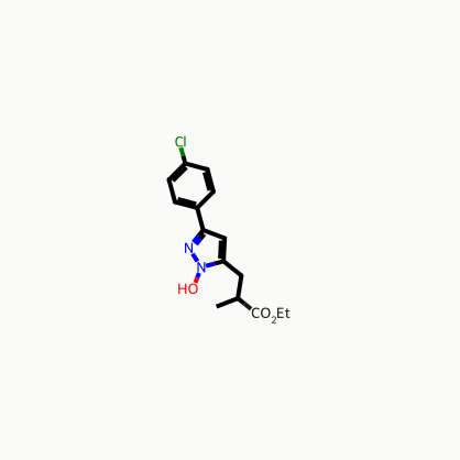 CCOC(=O)C(C)Cc1cc(-c2ccc(Cl)cc2)nn1O